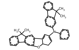 CC1(C)c2ccccc2-c2ccc(N(C3=CCC4Oc5cc6c(cc5C4=C3)C(C)(C)c3ccccc3-6)c3ccccc3)cc21